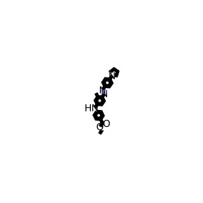 CCOC(=O)c1ccc(Nc2ccc(/N=N/c3ccc(N4CCCC4)cc3)c(C)c2)cc1